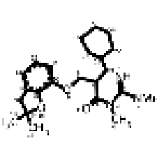 CNC(=N)N(C)C(=O)C(COc1cccc2c1OC(C)(C)C2)CC1CCCCC1